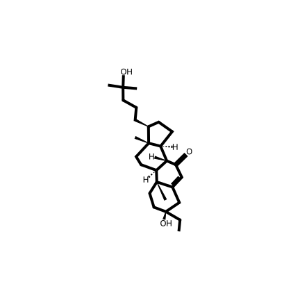 CC[C@]1(O)CC[C@@]2(C)C(=CC(=O)[C@H]3[C@@H]4CC[C@H](CCCC(C)(C)O)[C@@]4(C)CC[C@@H]32)C1